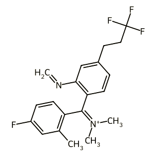 C=Nc1cc(CCC(F)(F)F)ccc1C(c1ccc(F)cc1C)=[N+](C)C